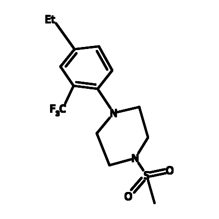 CCc1ccc(N2CCN(S(C)(=O)=O)CC2)c(C(F)(F)F)c1